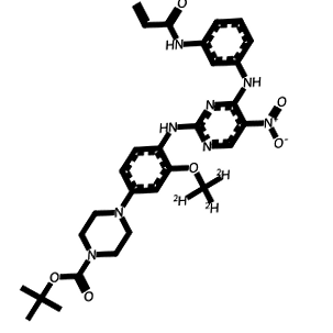 [2H]C([2H])([2H])Oc1cc(N2CCN(C(=O)OC(C)(C)C)CC2)ccc1Nc1ncc([N+](=O)[O-])c(Nc2cccc(NC(=O)C=C)c2)n1